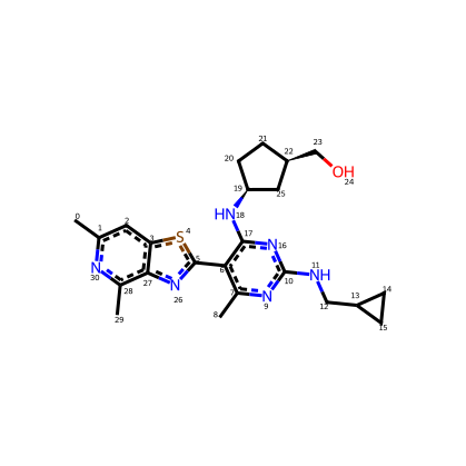 Cc1cc2sc(-c3c(C)nc(NCC4CC4)nc3N[C@H]3CC[C@@H](CO)C3)nc2c(C)n1